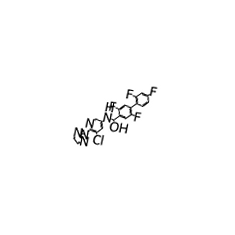 OC(Nc1cnc(-n2nccn2)c(Cl)c1)c1cc(F)c(-c2ccc(F)cc2F)cc1F